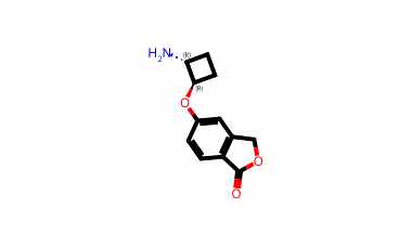 N[C@@H]1CC[C@H]1Oc1ccc2c(c1)COC2=O